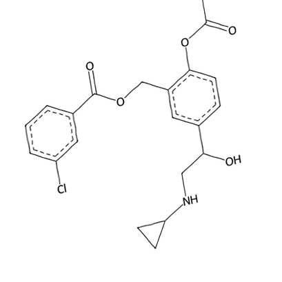 CC(C)(C)C(=O)Oc1ccc(C(O)CNC2CC2)cc1COC(=O)c1cccc(Cl)c1